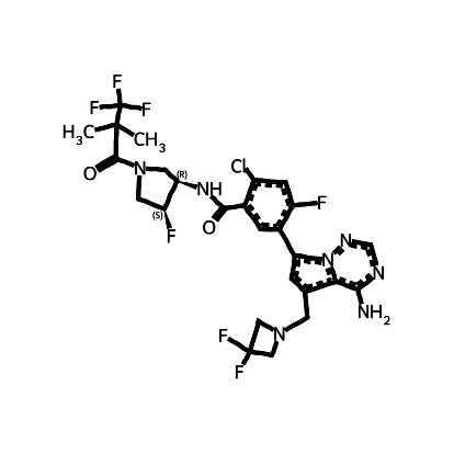 CC(C)(C(=O)N1C[C@H](F)[C@H](NC(=O)c2cc(-c3cc(CN4CC(F)(F)C4)c4c(N)ncnn34)c(F)cc2Cl)C1)C(F)(F)F